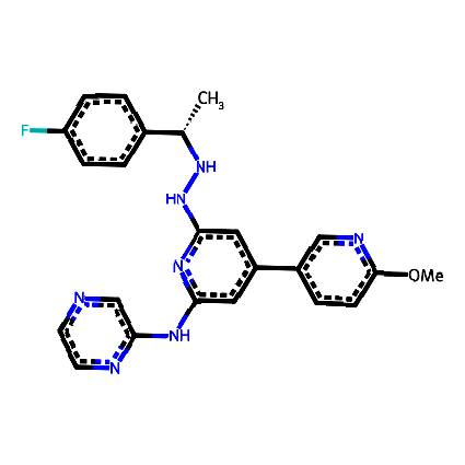 COc1ccc(-c2cc(NN[C@@H](C)c3ccc(F)cc3)nc(Nc3cnccn3)c2)cn1